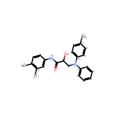 N#Cc1ccc(NC(=O)C(O)CN(c2ccccc2)c2ccc([N+](=O)[O-])cc2)cc1C(F)(F)F